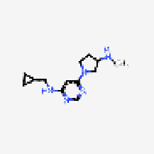 CNC1CCN(c2cc(NCC3CC3)ncn2)C1